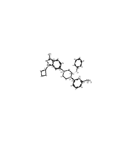 CCc1nn(C2CCC2)c2cc(N3CCN(c4cccc(N)n4)[C@@H](Cc4ccccc4)C3)ccc12